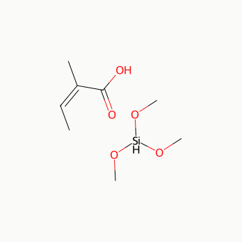 CC=C(C)C(=O)O.CO[SiH](OC)OC